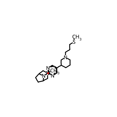 CSCCCN1CCCC(c2cnc(N3C4CCC3CN(C)C4)nc2)C1